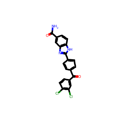 NC(=O)c1ccc2[nH]c(-c3ccc(C(=O)c4ccc(Cl)c(Cl)c4)cc3)nc2c1